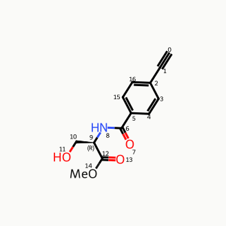 C#Cc1ccc(C(=O)N[C@H](CO)C(=O)OC)cc1